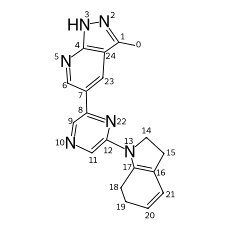 Cc1n[nH]c2ncc(-c3cncc(N4CCC5=C4CCC=C5)n3)cc12